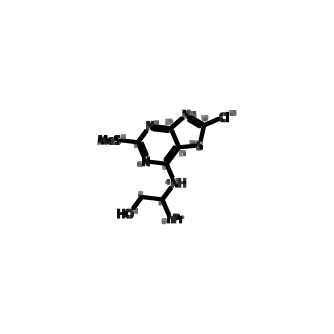 CCCC(CO)Nc1nc(SC)nc2nc(Cl)sc12